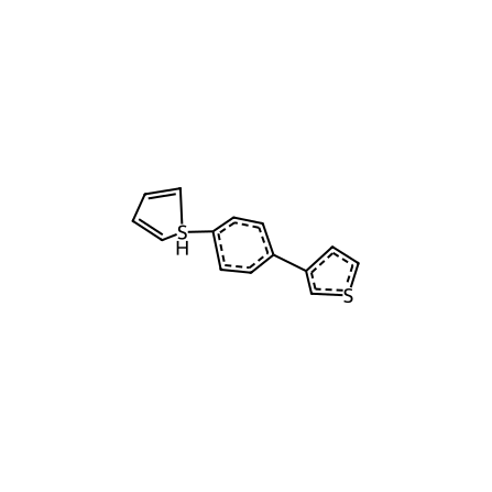 C1=C[SH](c2ccc(-c3ccsc3)cc2)C=C1